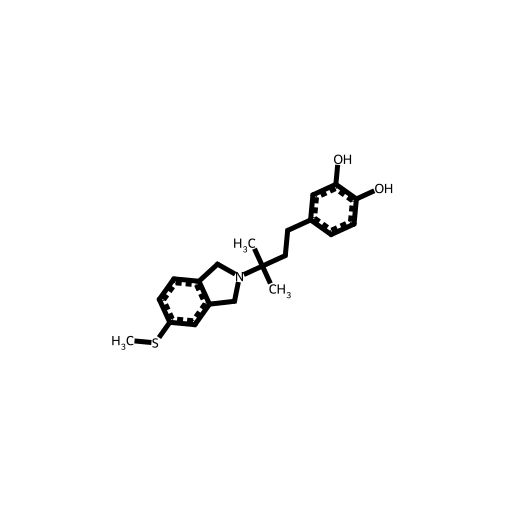 CSc1ccc2c(c1)CN(C(C)(C)CCc1ccc(O)c(O)c1)C2